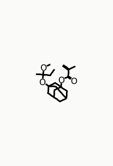 C=C(C)C(=O)OC12CC3CC(C1)CC(OC(C)(CC)OC)(C3)C2